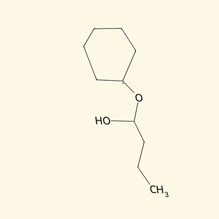 CCCC(O)O[C]1CCCCC1